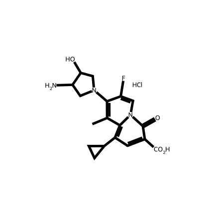 Cc1c(N2CC(N)C(O)C2)c(F)cn2c(=O)c(C(=O)O)cc(C3CC3)c12.Cl